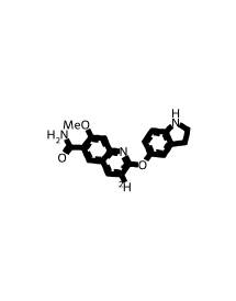 [2H]c1cc2cc(C(N)=O)c(OC)cc2nc1Oc1ccc2c(c1)CCN2